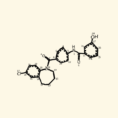 O=C(Nc1ccc(C(=O)N2CCCCc3cc(Cl)ccc32)cc1)c1cccc(O)c1